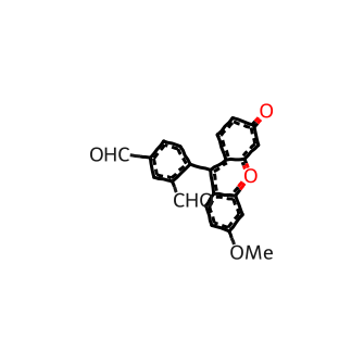 COc1ccc2c(-c3ccc(C=O)cc3C=O)c3ccc(=O)cc-3oc2c1